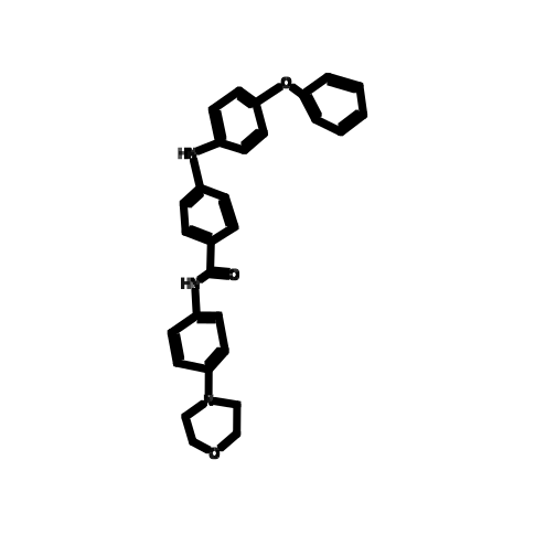 O=C(Nc1ccc(N2CCOCC2)cc1)c1ccc(Nc2ccc(Oc3ccccc3)cc2)cc1